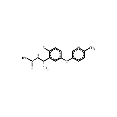 Cc1ccc(Oc2ccc(F)c([C@H](C)N[S+]([O-])C(C)(C)C)c2)cn1